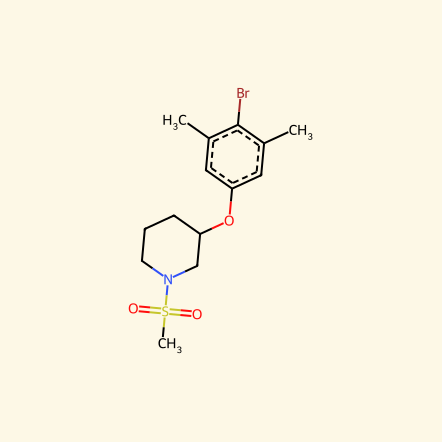 Cc1cc(OC2CCCN(S(C)(=O)=O)C2)cc(C)c1Br